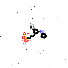 O=P([O-])([O-])C(CCCc1cccc(Nc2ccccc2)c1)S(=O)(=O)[O-].[K+].[K+].[K+]